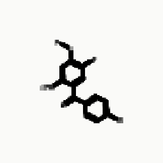 CCc1ccc(C(=O)c2cc(Br)c(OC(C)C)cc2NC(C)=O)cc1